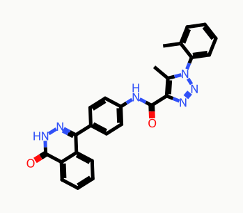 Cc1ccccc1-n1nnc(C(=O)Nc2ccc(-c3n[nH]c(=O)c4ccccc34)cc2)c1C